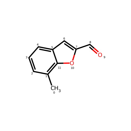 Cc1cccc2cc(C=O)oc12